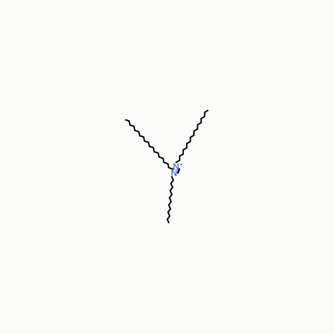 CCCCCCCCCCCCCCCCCCCc1n(CCCCCCCCCCCCCC)cc[n+]1CCCCCCCCCCCCCCCCCC